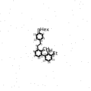 CCCCCCc1ccc(CCc2cccc(-c3cccc(CC)c3C)c2C)cc1